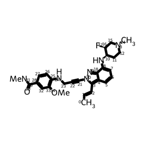 C/C=C/c1c2cccc(N[C@@H]3CCN(C)C[C@@H]3F)c2nn1C#CCNc1ccc(C(=O)NC)cc1OC